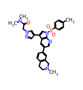 Cc1ccc(S(=O)(=O)n2cc(-c3cnn(CC(=O)N(C)C)c3)c3cc(-c4ccc5c(c4)CN(C)CC5)cnc32)cc1